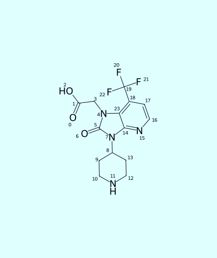 O=C(O)Cn1c(=O)n(C2CCNCC2)c2nccc(C(F)(F)F)c21